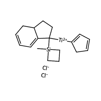 C[Si]1([C]2([Ti+2][C]3=CC=CC3)CCC3CC=CC=C32)CCC1.[Cl-].[Cl-]